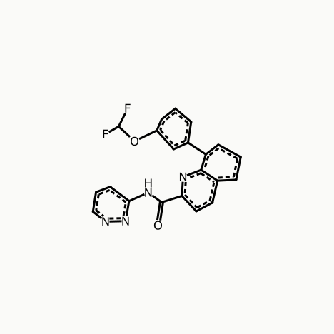 O=C(Nc1cccnn1)c1ccc2cccc(-c3cccc(OC(F)F)c3)c2n1